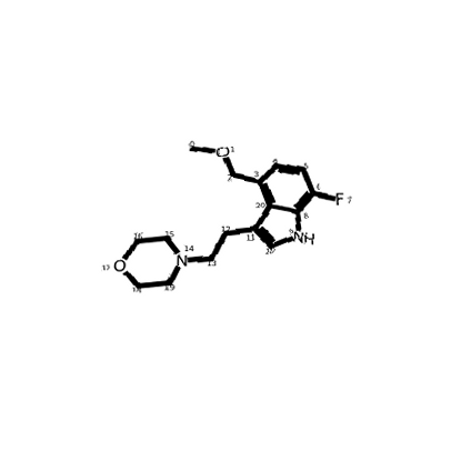 COCc1ccc(F)c2[nH]cc(CCN3CCOCC3)c12